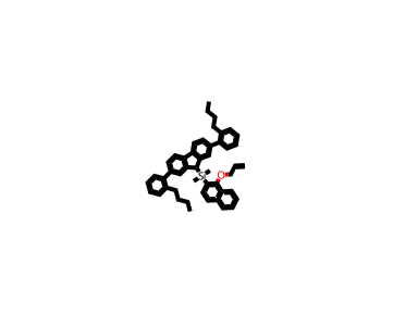 C=CCOc1c([Si](C)(C)C2c3cc(-c4ccccc4CCCC)ccc3-c3ccc(-c4ccccc4CCCC)cc32)ccc2ccccc12